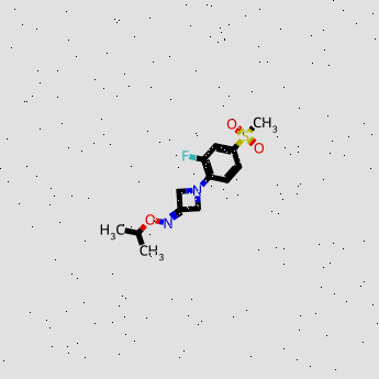 CC(C)ON=C1CN(c2ccc(S(C)(=O)=O)cc2F)C1